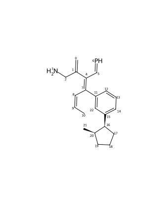 C=C(CN)/C(C=P)=C(\C=C/C)c1cccc([C@H]2CCC[C@H]2C)c1